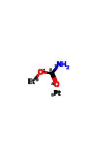 CCOC(N)=O.[Pt]